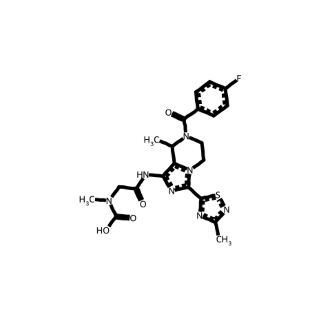 Cc1nsc(-c2nc(NC(=O)CN(C)C(=O)O)c3n2CCN(C(=O)c2ccc(F)cc2)C3C)n1